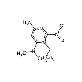 CCc1c(N(C)C)cc(N)cc1[N+](=O)[O-]